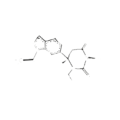 CCN1C(=N)N(C)C(=O)C[C@@]1(C)c1ccc2cnn(CC)c2c1